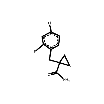 NC(=O)C1([CH]c2ccc(Cl)cc2F)CC1